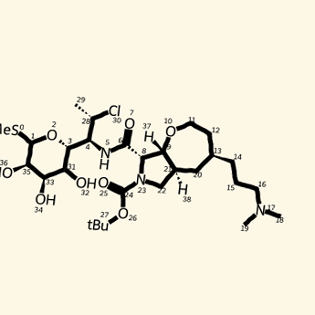 CSC1O[C@H]([C@H](NC(=O)[C@@H]2[C@@H]3OCC[C@@H](CCCN(C)C)C[C@H]3CN2C(=O)OC(C)(C)C)[C@H](C)Cl)C(O)[C@@H](O)[C@H]1O